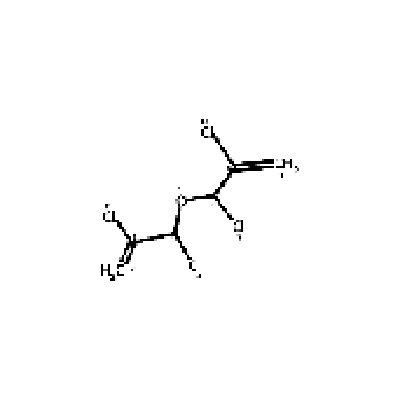 C=C(Cl)C(Cl)OC(Cl)C(=C)Cl